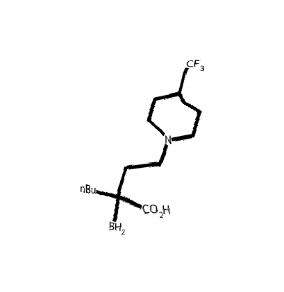 BC(CCCC)(CCN1CCC(C(F)(F)F)CC1)C(=O)O